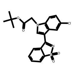 CC(C)(C)OC(=O)Cn1cc(C2=NS(=O)(=O)c3ccccc32)c2cc(Cl)ccc21